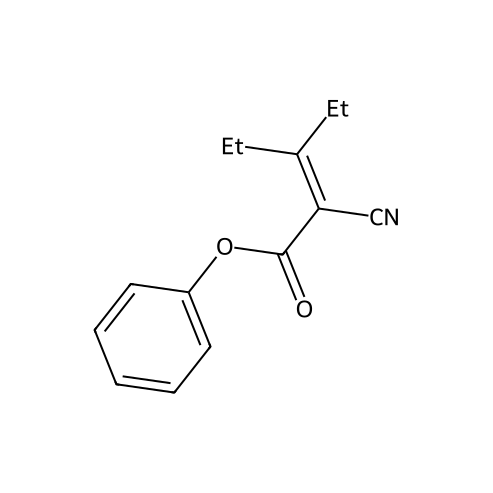 CCC(CC)=C(C#N)C(=O)Oc1ccccc1